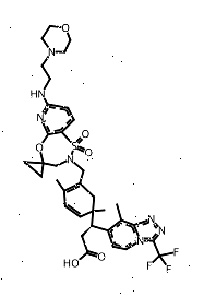 CC1=C(CN2CC3(CC3)Oc3nc(NCCN4CCOCC4)ccc3S2(=O)=O)CC(C)([C@H](CC(=O)O)c2ccn3c(C(F)(F)F)nnc3c2C)C=C1